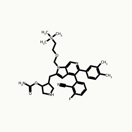 Cc1ccc(-c2ncc3c(cc(CC4CNCC4OC(N)=O)n3COCC[Si](C)(C)C)c2-c2cccc(F)c2C#N)cc1C